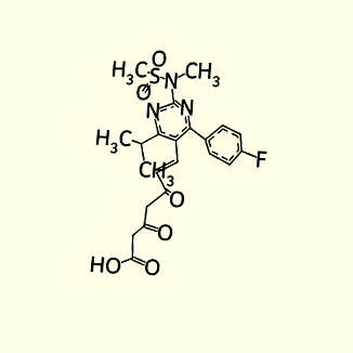 CC(C)c1nc(N(C)S(C)(=O)=O)nc(-c2ccc(F)cc2)c1C=CC(=O)CC(=O)CC(=O)O